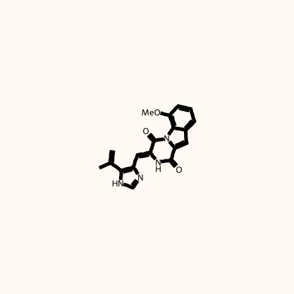 C=C(C)c1[nH]cnc1/C=c1\[nH]c(=O)c2cc3cccc(OC)c3n2c1=O